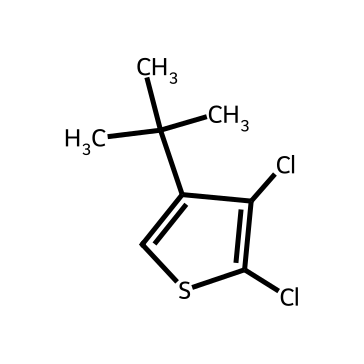 CC(C)(C)c1csc(Cl)c1Cl